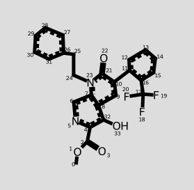 COC(=O)c1ncc2c(cc(-c3ccccc3C(F)(F)F)c(=O)n2CCc2ccccc2)c1O